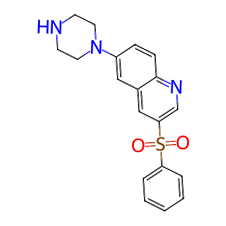 O=S(=O)(c1ccccc1)c1cnc2ccc(N3CCNCC3)cc2c1